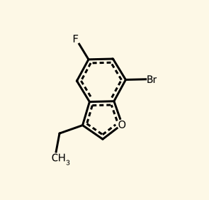 CCc1coc2c(Br)cc(F)cc12